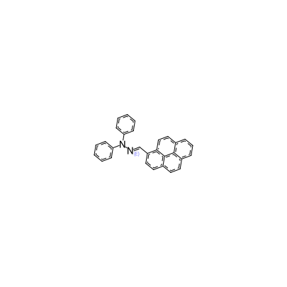 C(=N\N(c1ccccc1)c1ccccc1)/c1ccc2ccc3cccc4ccc1c2c34